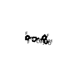 O=C1CCc2c(OCC3(C(=O)O)CCN(c4cc(F)ccc4F)CC3)ccc(F)c2N1